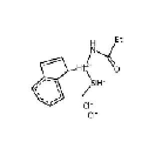 CCC(=O)[NH][Hf+2]([CH]1C=Cc2ccccc21)[SiH](C)C.[Cl-].[Cl-]